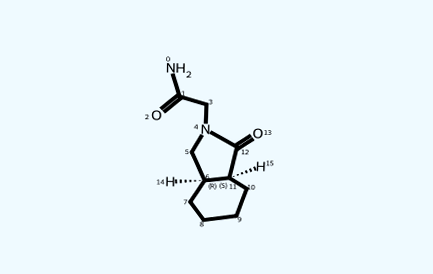 NC(=O)CN1C[C@@H]2CCCC[C@@H]2C1=O